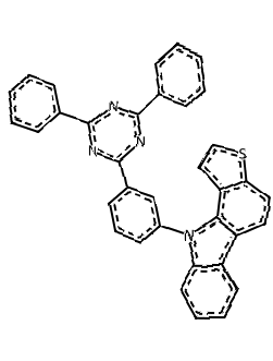 c1ccc(-c2nc(-c3ccccc3)nc(-c3cccc(-n4c5ccccc5c5ccc6sccc6c54)c3)n2)cc1